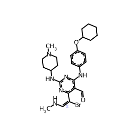 CN/C=C(/Br)c1nc(NC2CCN(C)CC2)nc(Nc2ccc(OC3CCCCC3)cc2)c1C=O